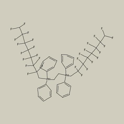 FC(F)C(F)(F)C(F)(F)C(F)(F)C(F)(F)C(F)(F)C(F)(F)C[PH](CC[PH](CC(F)(F)C(F)(F)C(F)(F)C(F)(F)C(F)(F)C(F)(F)C(F)F)(c1ccccc1)c1ccccc1)(c1ccccc1)c1ccccc1